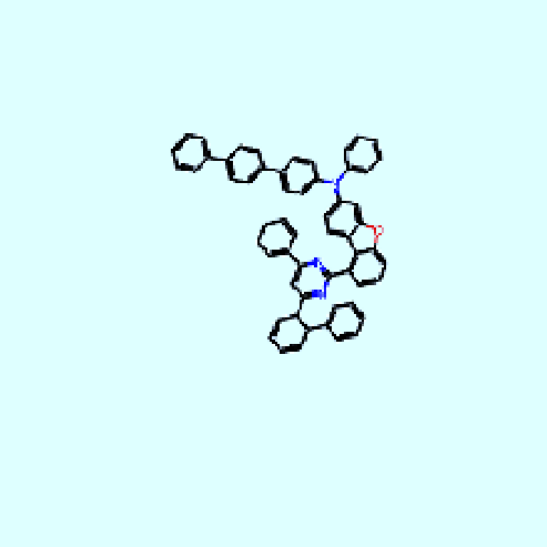 C1=CC(c2ccccc2)C(c2cc(C3=CCCC=C3)nc(-c3cccc4oc5cc(N(c6ccccc6)c6ccc(-c7ccc(-c8ccccc8)cc7)cc6)ccc5c34)n2)C=C1